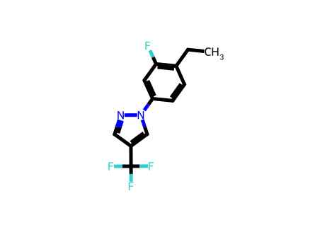 CCc1ccc(-n2cc(C(F)(F)F)cn2)cc1F